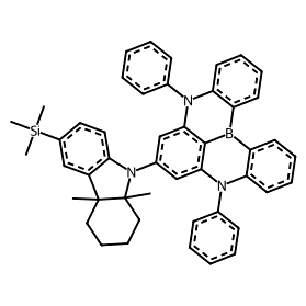 CC12CCCCC1(C)N(c1cc3c4c(c1)N(c1ccccc1)c1ccccc1B4c1ccccc1N3c1ccccc1)c1ccc([Si](C)(C)C)cc12